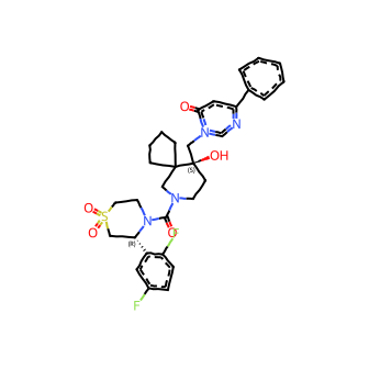 O=C(N1CC[C@@](O)(Cn2cnc(-c3ccccc3)cc2=O)C2(CCCC2)C1)N1CCS(=O)(=O)C[C@H]1c1cc(F)ccc1F